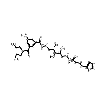 CCCN(CCC)C(=O)c1cc(C)cc(C(=O)NOC[C@H](O)[C@H](O)C(O)CONC(=O)CCCc2cccs2)c1